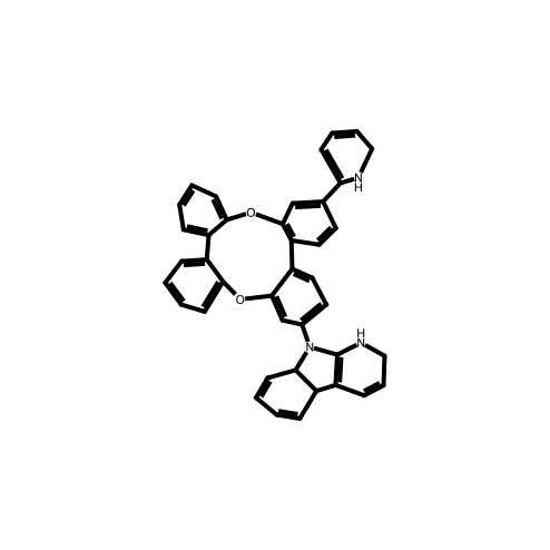 C1=CCNC(c2ccc3c(c2)Oc2ccccc2-c2ccccc2Oc2cc(N4C5=C(C=CCN5)C5C=CC=CC54)ccc2-3)=C1